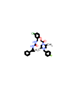 CC1CN(C(=O)COc2ccc(Cl)cc2CNC(=O)NC2CC2c2ccccc2)C(C)CN1Cc1ccc(F)cc1